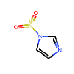 O=[SH](=O)n1[c]cnc1